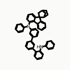 c1ccc(Nc2ccccc2-c2cccc(-c3cccc(N(c4ccccc4)c4cccc5c4-c4ccccc4C54CC5CCC4C5)c3)c2)cc1